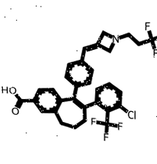 O=C(O)c1ccc2c(c1)CCCC(c1cccc(Cl)c1C(F)(F)F)=C2c1ccc(C=C2CN(CCC(F)(F)F)C2)cc1